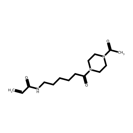 C=CC(=O)NCCCCCC(=O)N1CCN(C(C)=O)CC1